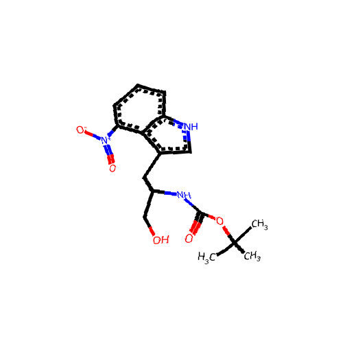 CC(C)(C)OC(=O)NC(CO)Cc1c[nH]c2cccc([N+](=O)[O-])c12